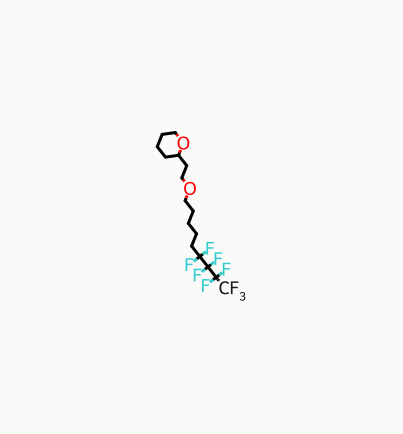 FC(F)(F)C(F)(F)C(F)(F)C(F)(F)CCCCCOCCC1CCCCO1